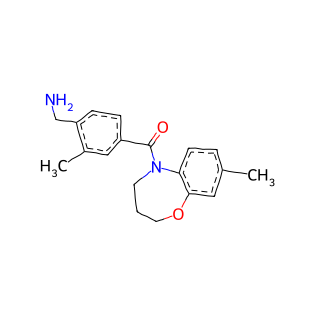 Cc1ccc2c(c1)OCCCN2C(=O)c1ccc(CN)c(C)c1